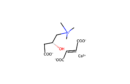 C[N+](C)(C)C[C@H](O)CC(=O)[O-].O=C([O-])C=CC(=O)[O-].[Ca+2]